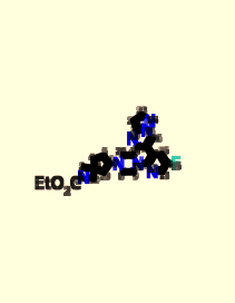 CCOC(=O)N1CC2(CC[C@@H](N3CCN(c4ncc(F)cc4-c4cnc5ccnn5c4)CC3)C2)C1